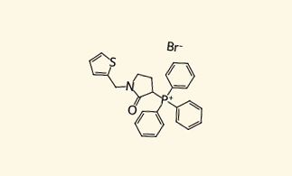 O=C1C([P+](c2ccccc2)(c2ccccc2)c2ccccc2)CCN1Cc1cccs1.[Br-]